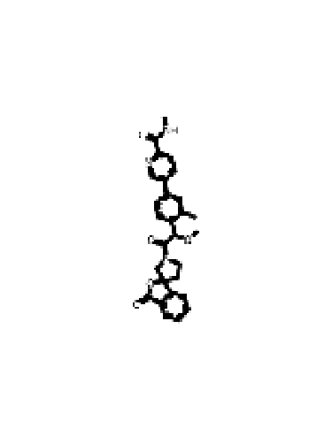 CNC(=O)c1ccc(-c2ccc(C(OC)C(=O)N3CCC4(C3)OC(=O)c3ccccc34)c(F)c2)cn1